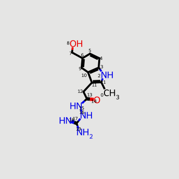 Cc1[nH]c2ccc(CO)cc2c1CC(=O)NNC(=N)N